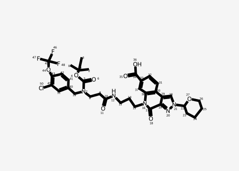 CC(C)(C)OC(=O)N(CCC(=O)NCCCn1c(=O)c2nn(C3CCCCO3)cc2c2ccc(C(=O)O)cc21)Cc1ccc(OC(F)(F)F)c(Cl)c1